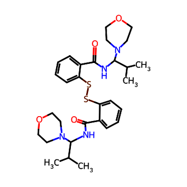 CC(C)C(NC(=O)c1ccccc1SSc1ccccc1C(=O)NC(C(C)C)N1CCOCC1)N1CCOCC1